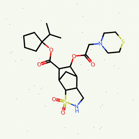 CC(C)C1(OC(=O)C2C3CC(C4CNS(=O)(=O)C43)C2OC(=O)CN2CCSCC2)CCCC1